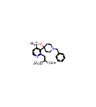 COC(Cc1nccc(C)c1C1(O)CCN(Cc2ccccc2)CC1)OC